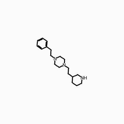 c1ccc(CCN2CCN(CCC3CCCNC3)CC2)cc1